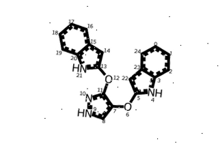 c1ccc2[nH]c(Oc3c[nH]nc3Oc3cc4ccccc4[nH]3)cc2c1